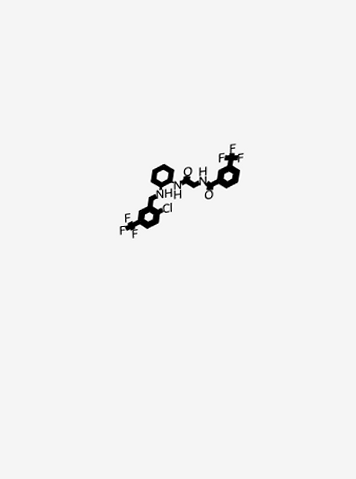 O=C(CNC(=O)c1cccc(C(F)(F)F)c1)N[C@H]1CCCC[C@@H]1NCc1cc(C(F)(F)F)ccc1Cl